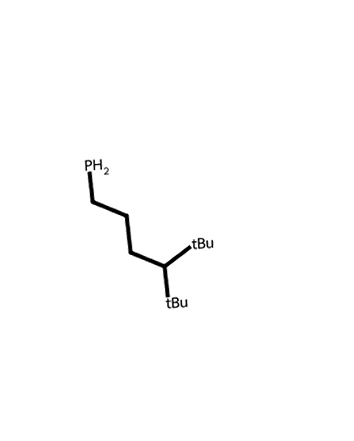 CC(C)(C)C(CCCP)C(C)(C)C